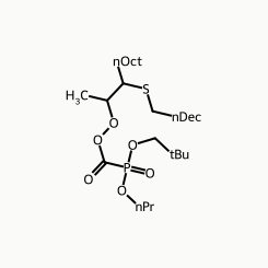 CCCCCCCCCCCSC(CCCCCCCC)C(C)OOC(=O)P(=O)(OCCC)OCC(C)(C)C